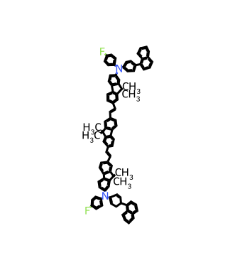 CC1(C)c2cc(/C=C/c3ccc4c(c3)C(C)(C)c3cc(N(C5=CCC(c6cccc7ccccc67)C=C5)c5ccc(F)cc5)ccc3-4)ccc2-c2ccc(/C=C/c3ccc4c(c3)C(C)(C)c3cc(N(c5ccc(F)cc5)c5ccc(-c6cccc7ccccc67)cc5)ccc3-4)cc21